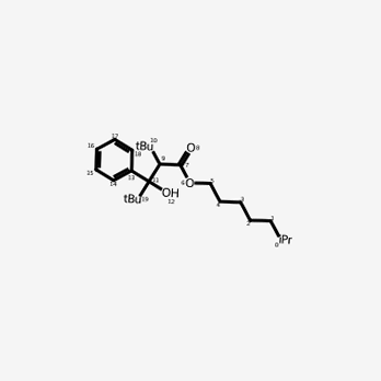 CC(C)CCCCCOC(=O)C(C(C)(C)C)C(O)(c1ccccc1)C(C)(C)C